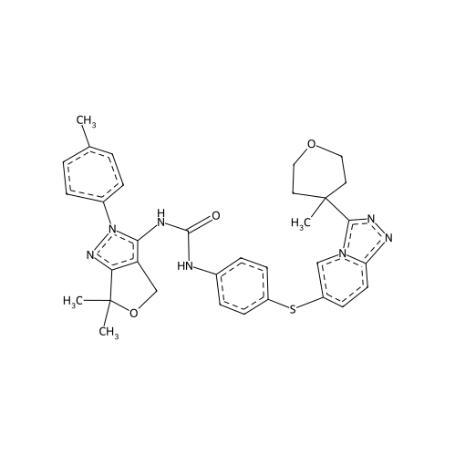 Cc1ccc(-n2nc3c(c2NC(=O)Nc2ccc(Sc4ccc5nnc(C6(C)CCOCC6)n5c4)cc2)COC3(C)C)cc1